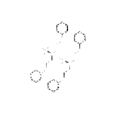 [O-]P([O-])([S-])=S(CCOc1ccccc1)CCOc1ccccc1.[O-]P([O-])([S-])=S(CCOc1ccccc1)CCOc1ccccc1.[Zn+2].[Zn+2].[Zn+2]